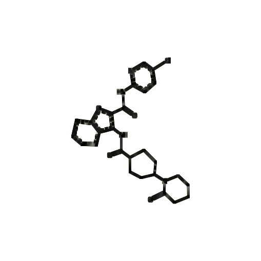 O=C(Nc1ccc(Cl)cn1)c1oc2ccccc2c1NC(=O)C1CCC(N2CCCCC2=O)CC1